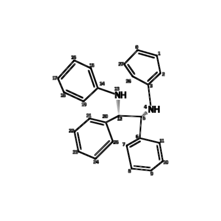 c1ccc(N[C@H](c2ccccc2)[C@@H](Nc2ccccc2)c2ccccc2)cc1